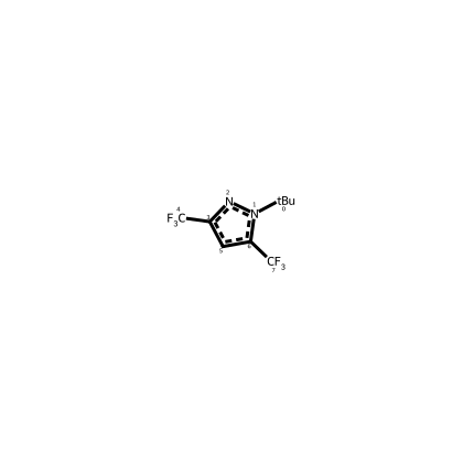 CC(C)(C)n1nc(C(F)(F)F)cc1C(F)(F)F